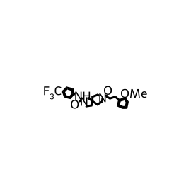 COc1ccccc1CCC(=O)N1CCC2(CC1)CCN(C(=O)Nc1ccc(C(F)(F)F)cc1)C2